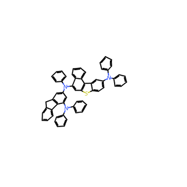 c1ccc(N(c2ccccc2)c2ccc3sc4cc(N(c5ccccc5)c5cc6c(c(N(c7ccccc7)c7ccccc7)c5)-c5ccccc5C6)c5ccccc5c4c3c2)cc1